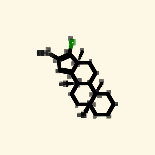 C[C@]12CCC3[C@@H](CC[C@H]4CCCC[C@]34C)C1=CC(C=O)=C2Cl